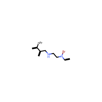 C=CN(Br)CCNCC(=C)C(=C)CCC